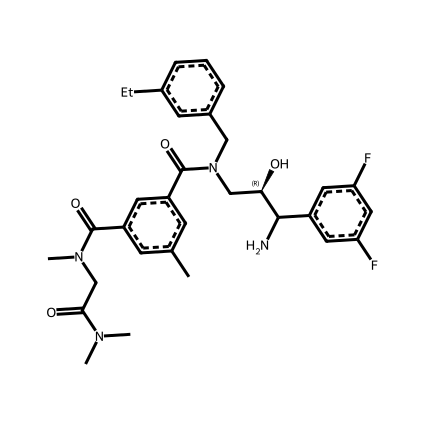 CCc1cccc(CN(C[C@@H](O)C(N)c2cc(F)cc(F)c2)C(=O)c2cc(C)cc(C(=O)N(C)CC(=O)N(C)C)c2)c1